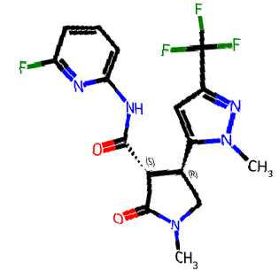 CN1C[C@H](c2cc(C(F)(F)F)nn2C)[C@@H](C(=O)Nc2cccc(F)n2)C1=O